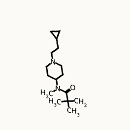 CN(C(=O)C(C)(C)C)C1CCN(CCC2CC2)CC1